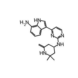 C=C1CC(Nc2nccc(-c3c[nH]c4c(N)cccc34)n2)CC(C)(C)N1